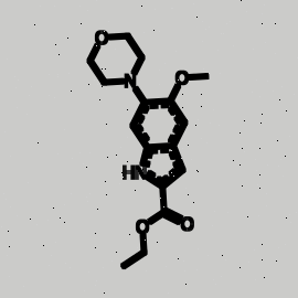 CCOC(=O)c1cc2cc(OC)c(N3CCOCC3)cc2[nH]1